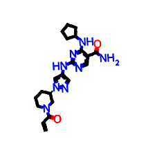 C=CC(=O)N1CCC[C@H](n2cc(Nc3ncc(C(N)=O)c(NC4CCCC4)n3)cn2)C1